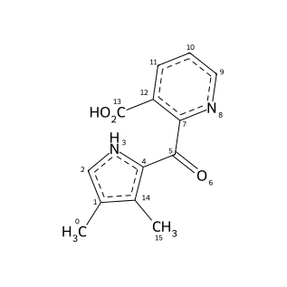 Cc1c[nH]c(C(=O)c2ncccc2C(=O)O)c1C